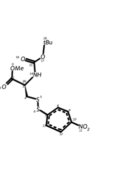 COC(=O)[C@H](CSSc1ccc([N+](=O)[O-])cc1)NC(=O)OC(C)(C)C